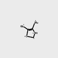 CC(C)(C)C1=C(C(C)(C)C)OCN1